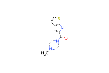 CN1CCN(C(=O)c2cc3ccsc3[nH]2)CC1